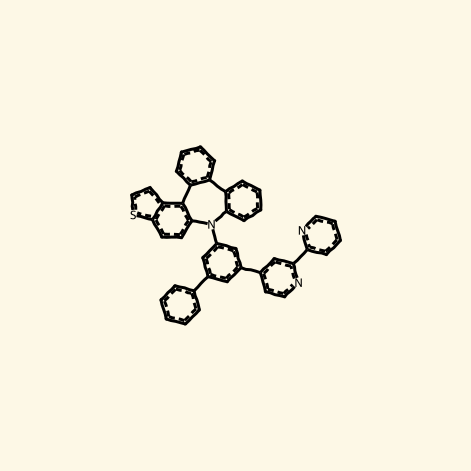 c1ccc(-c2cc(-c3ccnc(-c4ccccn4)c3)cc(N3c4ccccc4-c4ccccc4-c4c3ccc3sccc43)c2)cc1